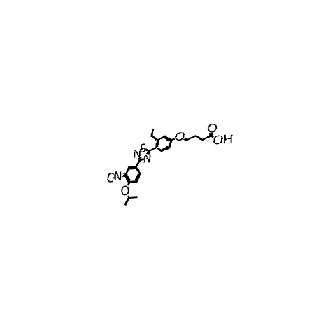 [C-]#[N+]c1cc(-c2nsc(-c3ccc(OCCCC(=O)O)cc3CC)n2)ccc1OC(C)C